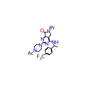 CC(=O)N1CCN(c2nc(NC(C)c3ccc(C(F)(F)F)cc3)c3c(n2)C(=O)N(C(C)C)C3)CC1